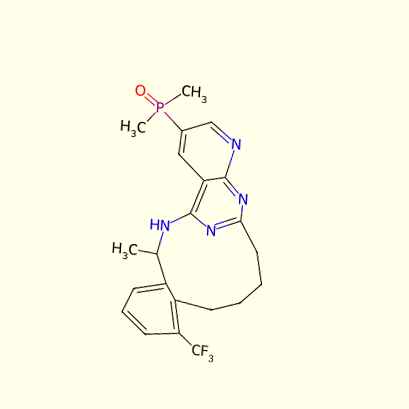 CC1Nc2nc(nc3ncc(P(C)(C)=O)cc23)CCCCc2c1cccc2C(F)(F)F